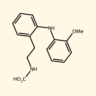 COc1ccccc1Nc1ccccc1CCNC(=O)O